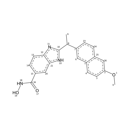 COc1ccc2cc(C(C)c3nc4ccc(C(=O)NO)cc4[nH]3)ccc2c1